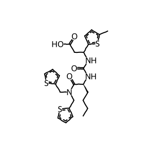 CCCC[C@H](NC(=O)NC(CC(=O)O)c1ccc(C)s1)C(=O)N(Cc1cccs1)Cc1cccs1